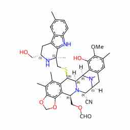 COc1c(C)cc2c(c1O)[C@@H]1[C@@H]3[C@H](SC[C@@]4(C)N[C@H](CO)Cc5c4[nH]c4ccc(C)cc54)c4c(C)c(C)c5c(c4[C@H](COC=O)N3[C@@H](C#N)[C@H](C2)N1C)OCO5